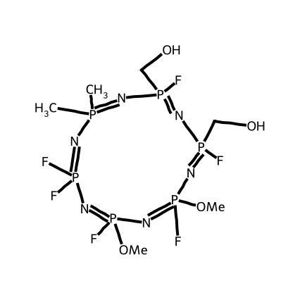 COP1(F)=NP(F)(F)=NP(C)(C)=NP(F)(CO)=NP(F)(CO)=NP(F)(OC)=N1